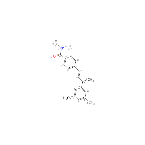 Cc1cc(C)cc(C(C)/C=C/c2ccc(C(=O)N(C)C)cc2)c1